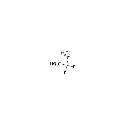 O=C(O)C(F)(F)F.[TeH2]